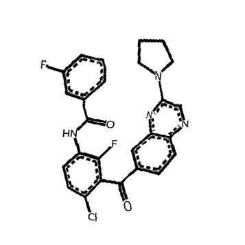 O=C(Nc1ccc(Cl)c(C(=O)c2ccc3ncc(N4CCCC4)nc3c2)c1F)c1cccc(F)c1